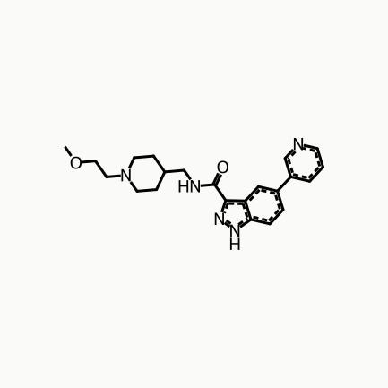 COCCN1CCC(CNC(=O)c2n[nH]c3ccc(-c4cccnc4)cc23)CC1